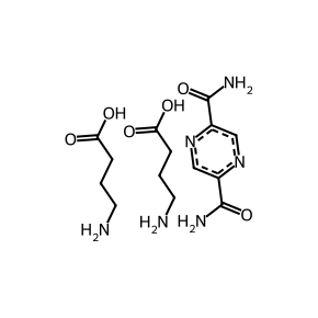 NC(=O)c1cnc(C(N)=O)cn1.NCCCC(=O)O.NCCCC(=O)O